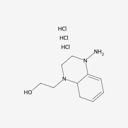 Cl.Cl.Cl.NN1CCN(CCO)C2CC=CC=C21